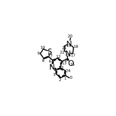 Cc1ccc2nc(C3=CCCS3)cc(C(=O)N3CCN(C)CC3)c2c1